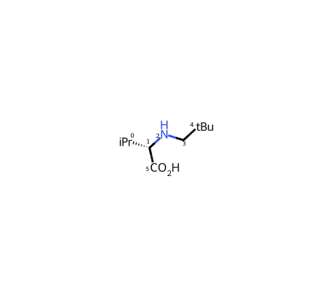 CC(C)[C@H](NCC(C)(C)C)C(=O)O